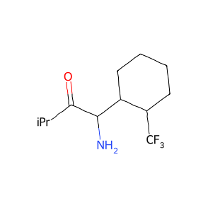 CC(C)C(=O)C(N)C1CCCCC1C(F)(F)F